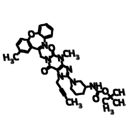 CC#CCn1c(N2CCCC(NC(=O)OC(C)(C)C)C2)nc2c1c(=O)n(CC1=Nc3ccccc3Oc3ccc(C)cc31)c(=O)n2C